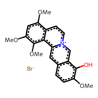 COc1ccc2cc3c4c(OC)c(OC)cc(OC)c4cc[n+]3cc2c1O.[Br-]